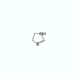 B1=CNCC1